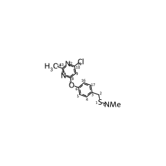 CNSCc1ccc(Oc2cc(Cl)nc(C)n2)cc1